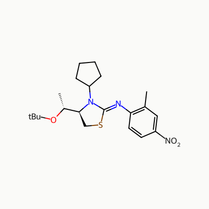 Cc1cc([N+](=O)[O-])ccc1N=C1SC[C@@H]([C@@H](C)OC(C)(C)C)N1C1CCCC1